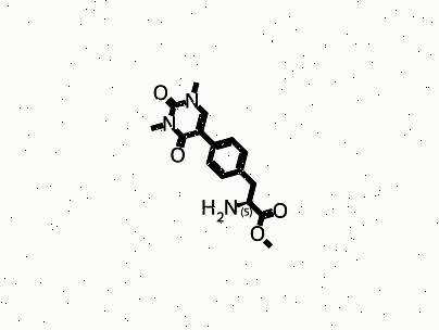 COC(=O)[C@@H](N)Cc1ccc(-c2cn(C)c(=O)n(C)c2=O)cc1